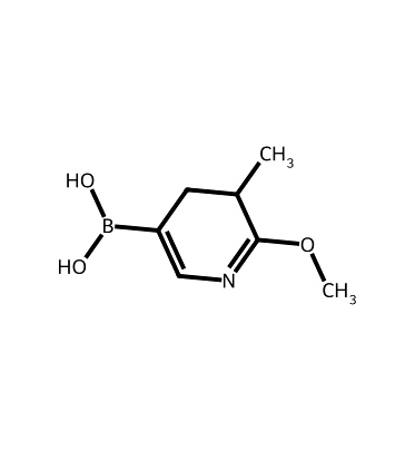 COC1=NC=C(B(O)O)CC1C